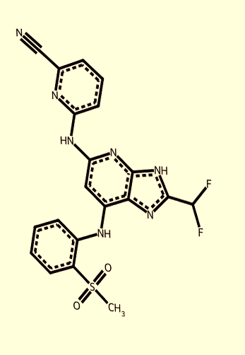 CS(=O)(=O)c1ccccc1Nc1cc(Nc2cccc(C#N)n2)nc2[nH]c(C(F)F)nc12